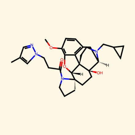 COc1ccc2c3c1O[C@H]1[C@@]4(CCCN4C(=O)CCn4cc(C)cn4)CC[C@@]4(O)[C@@H](C2)N(CC2CC2)CC[C@]314